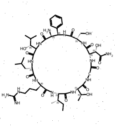 CC[C@H](C)[C@@H]1NC(=O)[C@@H](CCCNC(=N)N)NC(=O)[C@H](CC(C)C)NC(=O)C([C@H](O)C(C)C)NC(=O)[C@@H](N)[C@@H](c2ccccc2)NC(=O)[C@H](CO)NC(=O)[C@H]([C@H](O)C(N)=O)NC(=O)CNC(=O)[C@H]([C@H](C)O)NC1=O